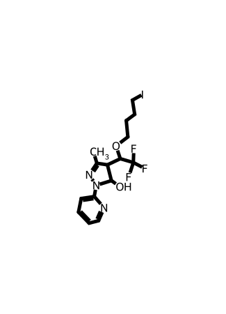 CC1=NN(c2ccccn2)C(O)C1C(OCCCCI)C(F)(F)F